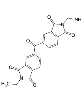 CCN1C(=O)c2ccc(C(=O)c3ccc4c(c3)C(=O)N(CN)C4=O)cc2C1=O